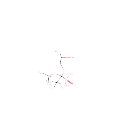 CC(O)COC(O[SiH](C)C)(C(C)(C)C)P(=O)(O)O